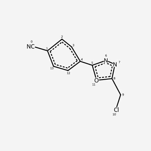 N#Cc1ccc(-c2nnc(CCl)o2)cc1